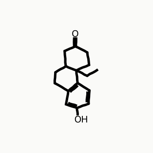 CCC12CCC(=O)CC1CCc1cc(O)ccc12